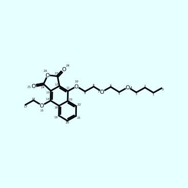 CCCCOCCOCCOc1c2c(c(OCC)c3ccccc13)C(=O)OC2=O